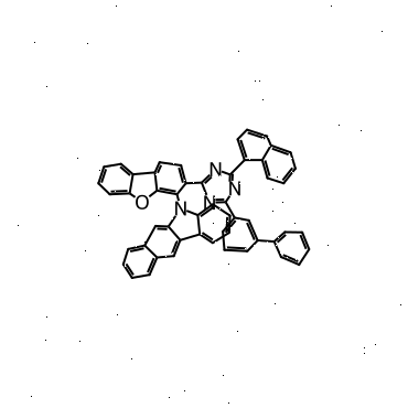 c1ccc(-c2cccc(-c3nc(-c4ccc5c(oc6ccccc65)c4-n4c5ccccc5c5cc6ccccc6cc54)nc(-c4cccc5ccccc45)n3)c2)cc1